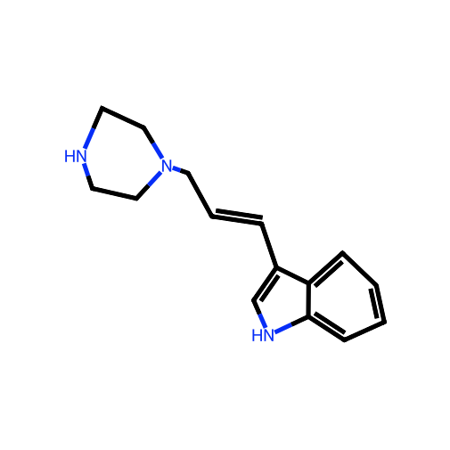 C(=Cc1c[nH]c2ccccc12)CN1CCNCC1